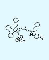 CCN1\C(=C/C=C(C)/C=C/C2=[N+](CCS(=O)(=O)O)c3c(c4ccccc4c4ccccc34)C2(C)Cc2ccccc2)C(C)(Cc2ccccc2)c2cc(OC)ccc21